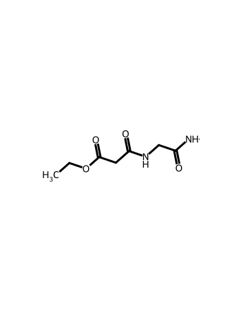 CCOC(=O)CC(=O)NCC([NH])=O